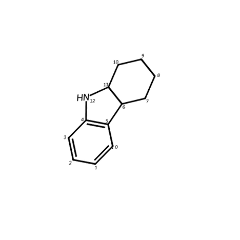 [c]1cccc2c1C1CCCCC1N2